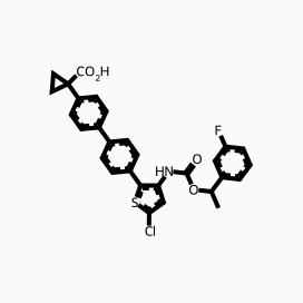 CC(OC(=O)Nc1cc(Cl)sc1-c1ccc(-c2ccc(C3(C(=O)O)CC3)cc2)cc1)c1cccc(F)c1